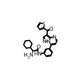 N[C@H](C(=O)Nc1cccc(-c2ccnc3c(C(=O)c4cccs4)cnn23)c1)C1CCCCC1